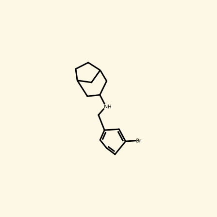 Brc1cccc(CNC2CC3CCC(C3)C2)c1